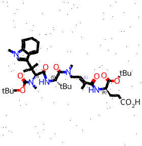 C/C(=C\CN(C)C(=O)[C@@H](NC(=O)[C@@H](N(C)C(=O)OC(C)(C)C)C(C)(C)c1cn(C)c2c1=CCCC=2)C(C)(C)C)C(=O)N[C@H](CCC(=O)O)C(=O)OC(C)(C)C